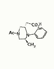 CC(=O)N1C[C@H](CC(=O)O)N(c2ccccc2)[C@@H](C)C1